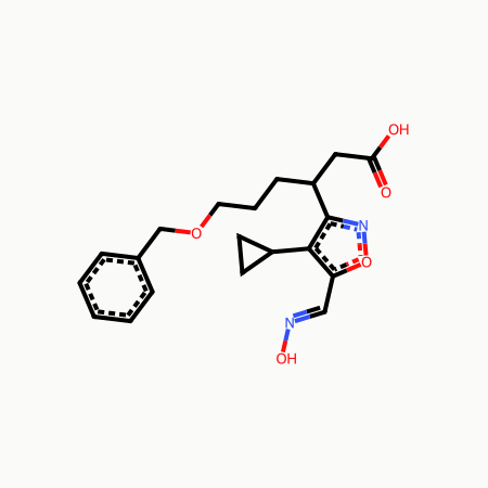 O=C(O)CC(CCCOCc1ccccc1)c1noc(C=NO)c1C1CC1